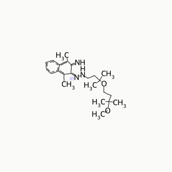 COC(C)(C)CCOC(C)(C)CCN/N=C1\C(=N)C(C)=c2ccccc2=C1C